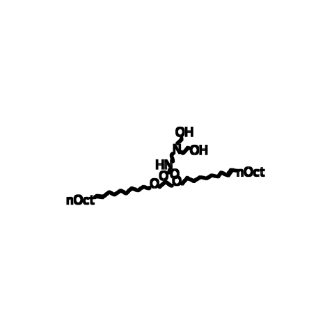 CCCCCCCCC=CCCCCCCCCOCC(COCCCCCCCCC=CCCCCCCCC)OC(=O)NCCN(CCO)CCO